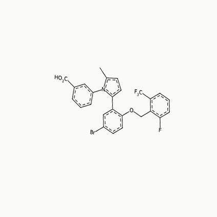 Cc1ccc(-c2cc(Br)ccc2OCc2c(F)cccc2C(F)(F)F)n1-c1cccc(C(=O)O)c1